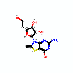 C=C1Sc2c(O)nc(N)nc2N1[C@@H]1O[C@H](CCO)[C@@H](O)[C@H]1O